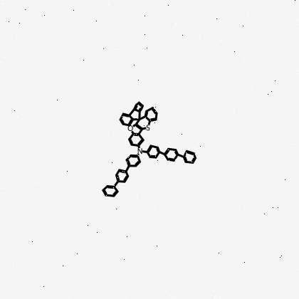 c1ccc(-c2ccc(-c3ccc(N(c4ccc(-c5ccc(-c6ccccc6)cc5)cc4)c4ccc5oc6c(c5c4)Sc4ccccc4C64c5ccccc5-c5ccccc54)cc3)cc2)cc1